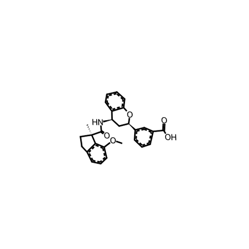 COc1cccc2c1[C@](C)(C(=O)N[C@@H]1C[C@H](c3cccc(C(=O)O)c3)Oc3ccccc31)CC2